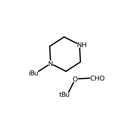 CC(C)(C)OC=O.CCC(C)N1CCNCC1